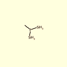 CP([SiH3])[SiH3]